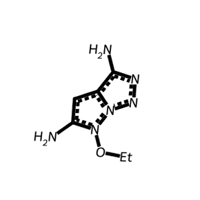 CCOn1c(N)cc2c(N)nnn21